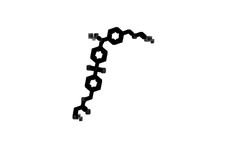 C=COCc1ccc(N(C)c2ccc(S(=O)(=O)c3ccc(COC(=O)C=C)cc3)cc2)cc1